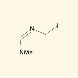 CN/C=N\CI